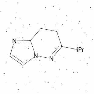 CC(C)C1=Nn2ccnc2CC1